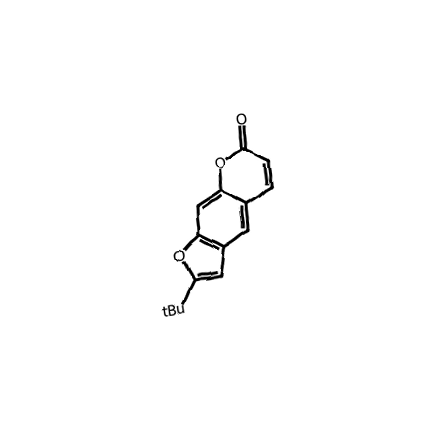 CC(C)(C)c1cc2cc3ccc(=O)oc3cc2o1